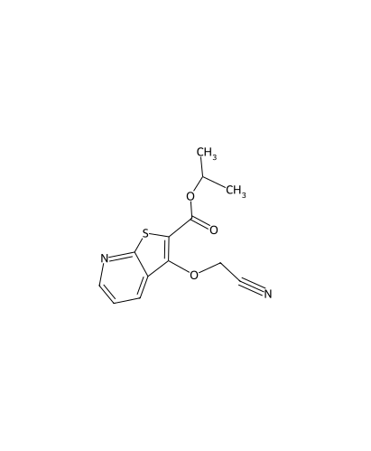 CC(C)OC(=O)c1sc2ncccc2c1OCC#N